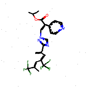 C=C(/C=C(\C=C(/C)C(F)(F)F)C(F)(F)F)c1ncn(/C=C(/C(=O)OC(C)C)c2ccncc2)n1